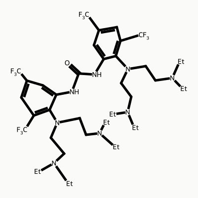 CCN(CC)CCN(CCN(CC)CC)c1c(NC(=O)Nc2cc(C(F)(F)F)cc(C(F)(F)F)c2N(CCN(CC)CC)CCN(CC)CC)cc(C(F)(F)F)cc1C(F)(F)F